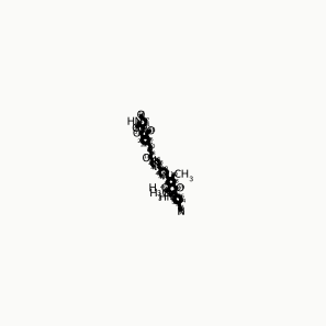 CCc1cc2c(cc1N1CCC(N3CCN(C(=O)CCSc4ccc5c(c4)C(=O)N(C4CCC(=O)NC4=O)C5=O)CC3)CC1)C(C)(C)c1[nH]c3cc(C#N)ccc3c1C2=O